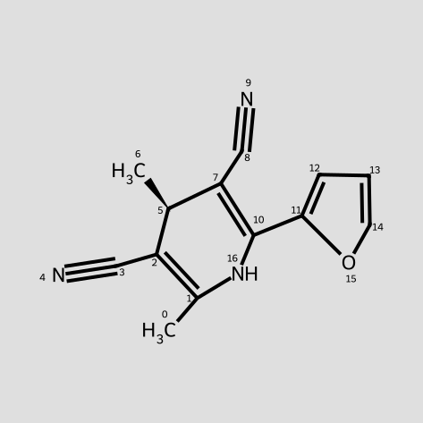 CC1=C(C#N)[C@@H](C)C(C#N)=C(c2ccco2)N1